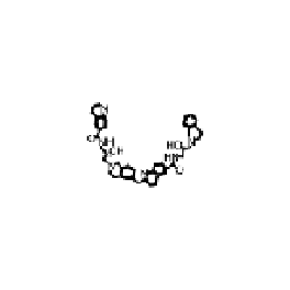 O=C(NC[C@H](O)CN1CCc2ccccc2C1)c1ccc2nc(Cc3ccc4c(c3)CCN(C[C@@H](O)CNC(=O)c3ccc5ncccc5c3)C4)ccc2c1